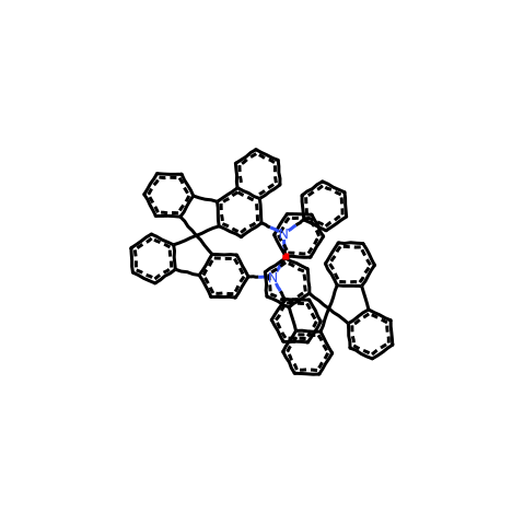 c1ccc(N(c2ccccc2)c2ccc3c(c2)C2(c4ccccc4-3)c3ccccc3-c3c2cc(N(c2ccccc2)c2ccc4c(c2)C2(c5ccccc5-c5ccccc52)c2ccccc2-4)c2ccccc32)cc1